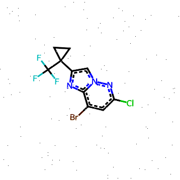 FC(F)(F)C1(c2cn3nc(Cl)cc(Br)c3n2)CC1